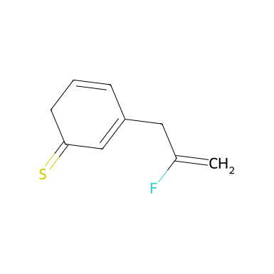 C=C(F)CC1=CC(=S)CC=C1